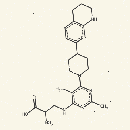 Cc1nc(NCC(N)C(=O)O)c(C)c(N2CCC(c3ccc4c(n3)NCCC4)CC2)n1